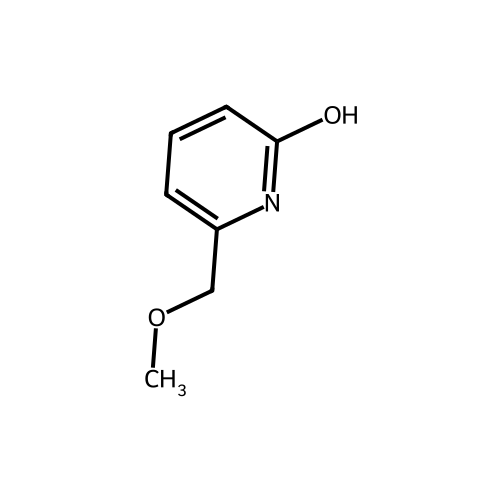 COCc1cccc(O)n1